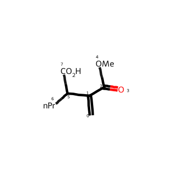 C=C(C(=O)OC)C(CCC)C(=O)O